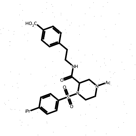 CC(=O)N1CCN(S(=O)(=O)c2ccc(C(C)C)cc2)C(C(=O)NCCc2ccc(C(=O)O)cc2)C1